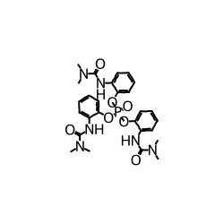 CN(C)C(=O)Nc1ccccc1OP(=O)(Oc1ccccc1NC(=O)N(C)C)Oc1ccccc1NC(=O)N(C)C